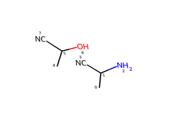 CC(N)C#N.CC(O)C#N